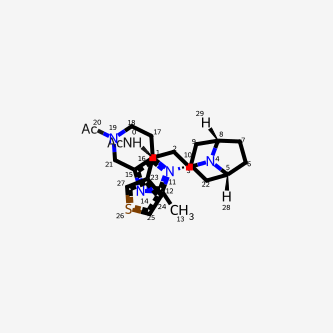 CC(=O)N[C@@H](CCN1[C@@H]2CC[C@H]1C[C@@H](n1c(C)nc3c1CCN(C(C)=O)C3)C2)c1ccsc1